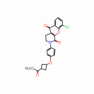 COC(=O)C1CC(Oc2ccc(N3CCc4c(oc5c(Cl)cccc5c4=O)C3=O)cc2)C1